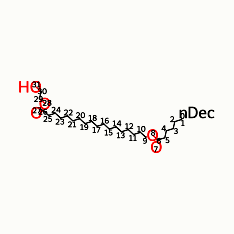 CCCCCCCCCCCCCCCC(=O)OCCCCCCCCCCCCCCCCCC(=O)OCCO